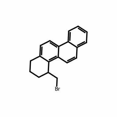 BrCC1CCCc2ccc3c(ccc4ccccc43)c21